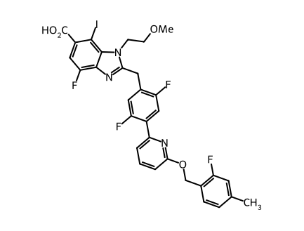 COCCn1c(Cc2cc(F)c(-c3cccc(OCc4ccc(C)cc4F)n3)cc2F)nc2c(F)cc(C(=O)O)c(I)c21